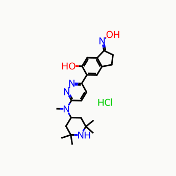 CN(c1ccc(-c2cc3c(cc2O)/C(=N/O)CC3)nn1)C1CC(C)(C)NC(C)(C)C1.Cl